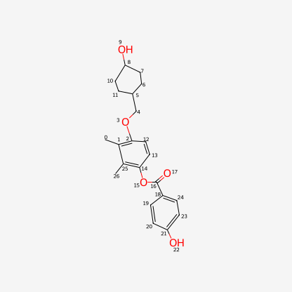 Cc1c(OCC2CCC(O)CC2)ccc(OC(=O)c2ccc(O)cc2)c1C